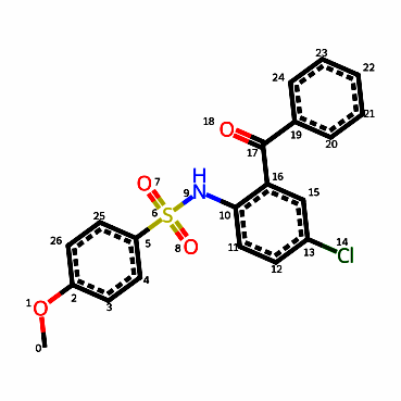 COc1ccc(S(=O)(=O)Nc2ccc(Cl)cc2C(=O)c2ccccc2)cc1